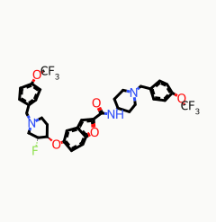 O=C(NC1CCN(Cc2ccc(OC(F)(F)F)cc2)CC1)c1cc2cc(O[C@@H]3CCN(Cc4ccc(OC(F)(F)F)cc4)C[C@H]3F)ccc2o1